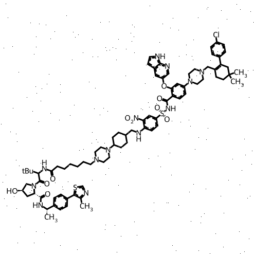 Cc1ncsc1-c1ccc([C@H](C)NC(=O)[C@@H]2C[C@@H](O)CN2C(=O)C(NC(=O)CCCCCCN2CCN(C3CCC(CNc4ccc(S(=O)(=O)NC(=O)c5ccc(N6CCN(CC7=C(c8ccc(Cl)cc8)CC(C)(C)CC7)CC6)cc5Oc5cnc6[nH]ccc6c5)cc4[N+](=O)[O-])CC3)CC2)C(C)(C)C)cc1